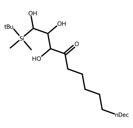 CCCCCCCCCCCCCCCC(=O)C(O)C(O)C(O)[Si](C)(C)C(C)(C)C